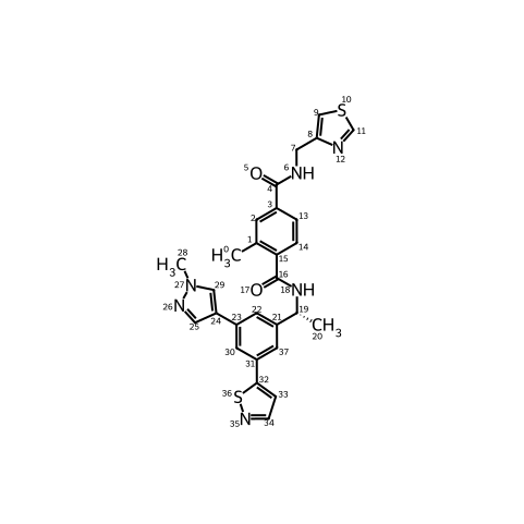 Cc1cc(C(=O)NCc2cscn2)ccc1C(=O)N[C@H](C)c1cc(-c2cnn(C)c2)cc(-c2ccns2)c1